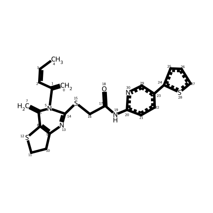 C=C(/C=C\C)N1C(=C)C2=C(CCS2)N=C1SCC(=O)Nc1ccc(-c2cccs2)cn1